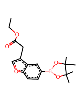 CCOC(=O)Cc1coc2ccc(B3OC(C)(C)C(C)(C)O3)cc12